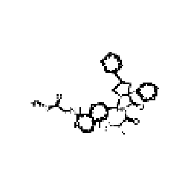 CCCOC(=O)CNc1nccc2cc(CN3CC(c4ccccc4)C[C@]3(C(=O)NC(=O)[C@H](C)N)c3ccccc3)ccc12